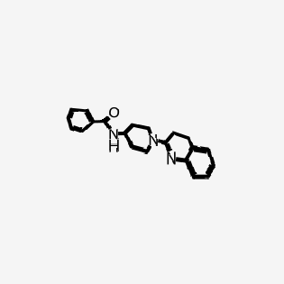 O=C(NC1CCN(C2=Nc3ccccc3CC2)CC1)c1ccccc1